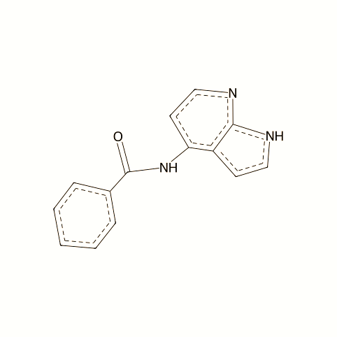 O=C(Nc1ccnc2[nH]ccc12)c1ccccc1